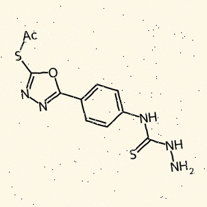 CC(=O)Sc1nnc(-c2ccc(NC(=S)NN)cc2)o1